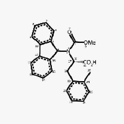 COC(=O)N(C1c2ccccc2-c2ccccc21)[C@@H](Cc1ccccc1C)C(=O)O